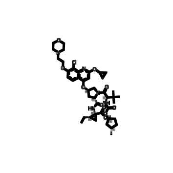 CC[C@@H]1C[C@]1(NC(=O)[C@@H]1C[C@@H](Oc2cc(OC3CC3)nc3c(Cl)c(OCCN4CCOCC4)ccc23)CN1C(=O)[C@@H](NC(=O)O[C@@H]1CC[C@H](C)C1)C(C)(C)C)C(=O)O